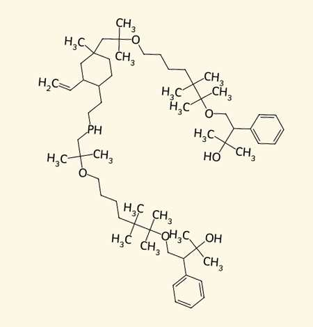 C=CC1CC(C)(CC(C)(C)OCCCCC(C)(C)C(C)(C)OCC(c2ccccc2)C(C)(C)O)CCC1CCPCC(C)(C)OCCCCC(C)(C)C(C)(C)OCC(c1ccccc1)C(C)(C)O